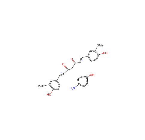 COc1cc(/C=C/C(=O)CC(=O)/C=C/c2ccc(O)c(OC)c2)ccc1O.Nc1ccc(O)cc1